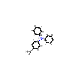 Cc1ccc([N+](c2ccccc2)c2ccccc2)cc1